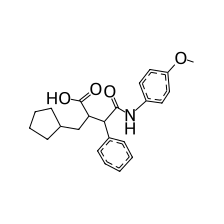 COc1ccc(NC(=O)C(c2ccccc2)C(CC2CCCC2)C(=O)O)cc1